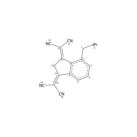 CC(C)Cc1cccc2c1C(=C(C#N)C#N)CC2=C(C#N)C#N